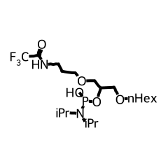 CCCCCCOCC(COCCCNC(=O)C(F)(F)F)OP(O)N(C(C)C)C(C)C